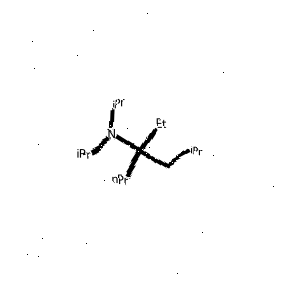 CCCC(CC)(CC(C)C)N(C(C)C)C(C)C